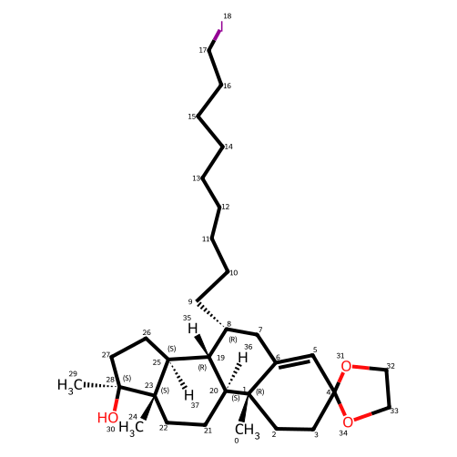 C[C@]12CCC3(C=C1C[C@@H](CCCCCCCCCI)[C@@H]1[C@@H]2CC[C@@]2(C)[C@H]1CC[C@]2(C)O)OCCO3